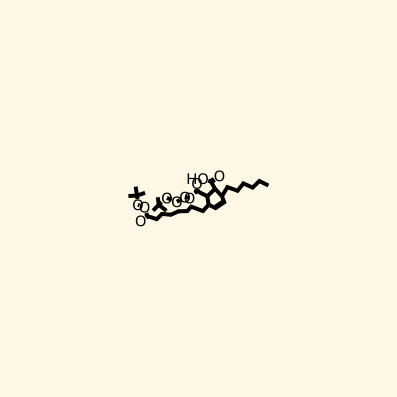 CCCCCCC1C=CC(CCCCCCCC(=O)OOC(C)(C)C)C(C(=O)OOOOC(C)(C)C)C1C(=O)O